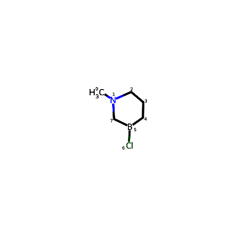 CN1CCCB(Cl)C1